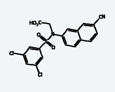 N#Cc1ccc2ccc(N(CC(=O)O)S(=O)(=O)c3cc(Cl)cc(Cl)c3)cc2c1